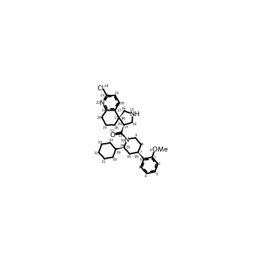 COc1ccccc1[C@@H]1CCN(C(=O)[C@@H]2CNC[C@]23CCCc2nc(Cl)ccc23)[C@H](C2CCCCC2)C1